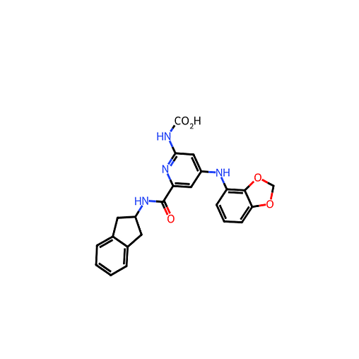 O=C(O)Nc1cc(Nc2cccc3c2OCO3)cc(C(=O)NC2Cc3ccccc3C2)n1